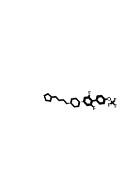 Fc1cc([C@H]2CC[C@H](CCCCC3CCCC3)CC2)cc(F)c1-c1ccc(OC(F)(F)F)cc1